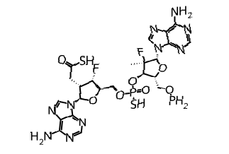 C[C@@]1(F)[C@H](O[P@](=O)(S)OC[C@H]2O[C@@H](n3cnc4c(N)ncnc43)[C@H](CC(=O)S)[C@@H]2F)[C@@H](COP)O[C@H]1n1cnc2c(N)ncnc21